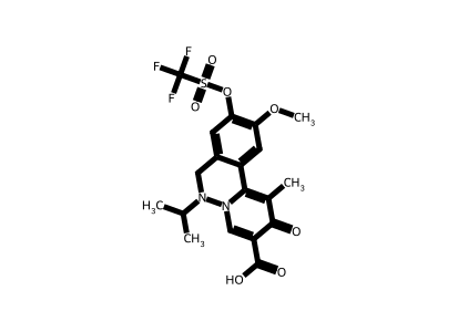 COc1cc2c(cc1OS(=O)(=O)C(F)(F)F)CN(C(C)C)n1cc(C(=O)O)c(=O)c(C)c1-2